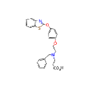 O=C(O)CCN(CCOc1ccc(Oc2nc3ccccc3s2)cc1)Cc1ccccc1